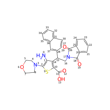 Nc1c(N2CCOCC2)sc(C(=O)O)c1C(CN1C(=O)c2ccccc2C1=O)c1ccc2ccccc2c1